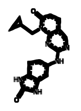 O=c1[nH]c2ccc(Nc3ncc4ccc(=O)n(CC5CC5)c4n3)cc2[nH]1